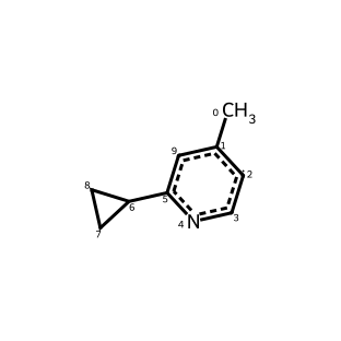 Cc1[c]cnc(C2CC2)c1